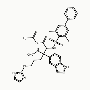 Cc1cc(-c2ccccc2)cc(C)c1S(=O)(=O)NC(C(=O)OC(=O)C(F)(F)F)C(CCCNc1ncc[nH]1)(NC=O)c1ccc2[nH]ncc2c1